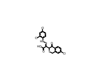 O=C(O)C(=NNc1ccc(Cl)cc1Cl)C1SCc2cc(Cl)ccc2C1=O